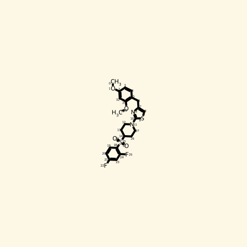 COc1ccc(Cc2csc(N3CCC(S(=O)(=O)c4ccc(F)cc4F)CC3)n2)c(OC)c1